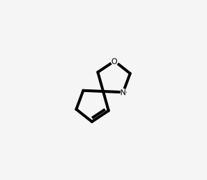 C1=CC2(CC1)COC[N]2